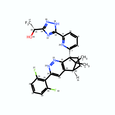 CC1(C)[C@H]2CC[C@]1(c1cccc(-c3nc([C@H](O)C(F)(F)F)n[nH]3)n1)c1nnc(-c3c(F)cccc3F)cc12